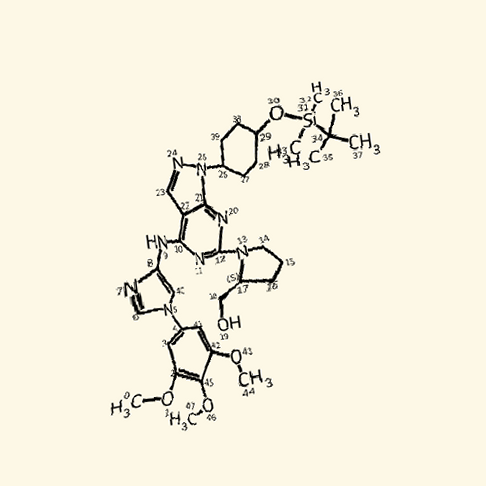 COc1cc(-n2cnc(Nc3nc(N4CCC[C@H]4CO)nc4c3cnn4C3CCC(O[Si](C)(C)C(C)(C)C)CC3)c2)cc(OC)c1OC